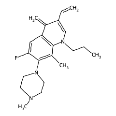 C=CC1=CN(CCC)c2c(cc(F)c(N3CCN(C)CC3)c2C)C1=C